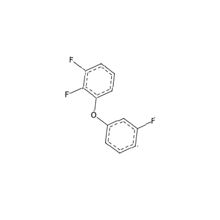 Fc1[c]ccc(Oc2cccc(F)c2F)c1